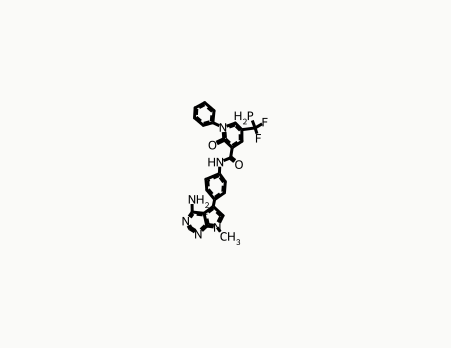 Cn1cc(-c2ccc(NC(=O)c3cc(C(F)(F)P)cn(-c4ccccc4)c3=O)cc2)c2c(N)ncnc21